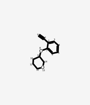 C#Cc1ccccc1OC1CCCOC1